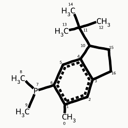 Cc1cc2c(cc1P(C)C)C(C(C)(C)C)CC2